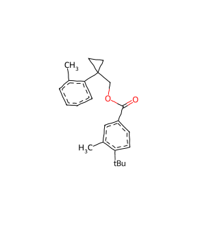 Cc1cc(C(=O)OCC2(c3ccccc3C)CC2)ccc1C(C)(C)C